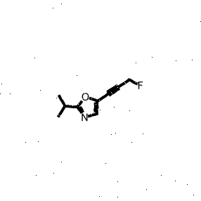 CC(C)c1ncc(C#CCF)o1